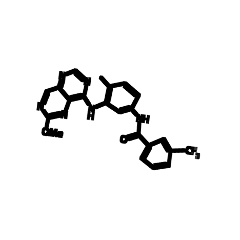 COc1ncc2ncnc(Nc3cc(NC(=O)c4cccc(C(F)(F)F)c4)ccc3C)c2n1